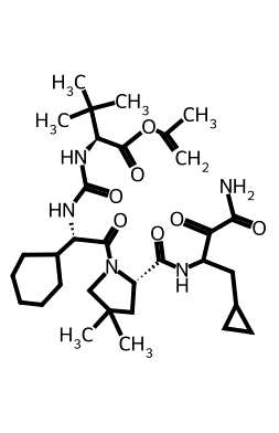 C=C(C)OC(=O)[C@@H](NC(=O)N[C@H](C(=O)N1CC(C)(C)C[C@H]1C(=O)NC(CC1CC1)C(=O)C(N)=O)C1CCCCC1)C(C)(C)C